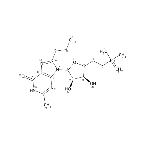 C=P(C)(C)CCC1OC(n2c(CCC)nc3c(=O)[nH]c(C)nc32)[C@H](O)[C@@H]1O